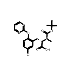 CN(C(=O)OC(C)(C)C)[C@@H](Cc1cc(Cl)ccc1Oc1ncccn1)C(=O)O